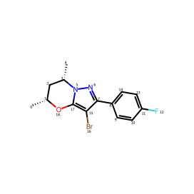 C[C@@H]1C[C@H](C)n2nc(-c3ccc(F)cc3)c(Br)c2O1